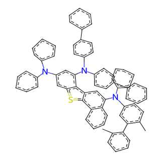 Cc1ccccc1-c1cc(N(c2ccccc2)c2cc3c(sc4cc(N(c5ccccc5)c5ccccc5)cc(N(c5ccc(-c6ccccc6)cc5)c5ccc(-c6ccccc6)cc5)c43)c3ccccc23)ccc1C